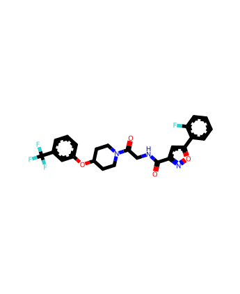 O=C(NCC(=O)N1CCC(Oc2cccc(C(F)(F)F)c2)CC1)c1cc(-c2ccccc2F)on1